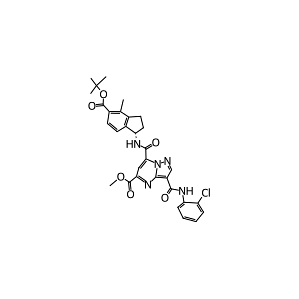 COC(=O)c1cc(C(=O)N[C@H]2CCc3c2ccc(C(=O)OC(C)(C)C)c3C)n2ncc(C(=O)Nc3ccccc3Cl)c2n1